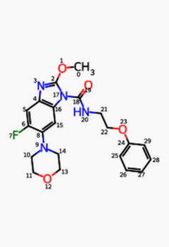 COc1nc2cc(F)c(N3CCOCC3)cc2n1C(=O)NCCOc1ccccc1